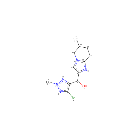 Cn1nc(Br)c(C(O)c2cn3c(n2)CCC(C(F)(F)F)C3)n1